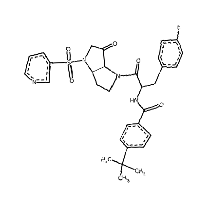 CC(C)(C)c1ccc(C(=O)NC(Cc2ccc(F)cc2)C(=O)N2CCC3C2C(=O)CN3S(=O)(=O)c2cccnc2)cc1